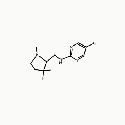 CN1CCC(F)(F)C1CNc1ncc(Cl)cn1